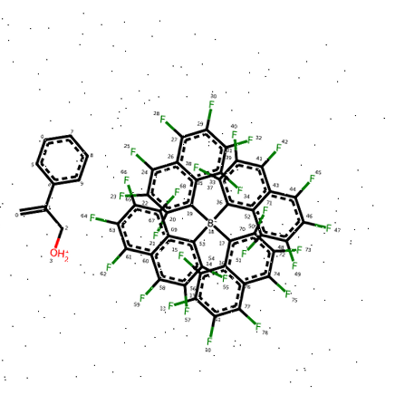 C=C(C[OH2+])c1ccccc1.Fc1c(F)c(F)c2c([B-](c3c(F)c(F)c(F)c4c(F)c(F)c(F)c(F)c34)(c3c(F)c(F)c(F)c4c(F)c(F)c(F)c(F)c34)c3c(F)c(F)c(F)c4c(F)c(F)c(F)c(F)c34)c(F)c(F)c(F)c2c1F